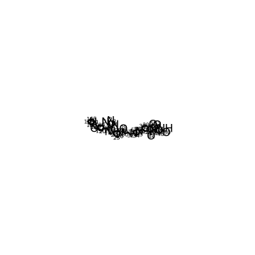 Nc1ncnc2c1c(-c1ccc(Oc3ccccc3)cc1)nn2[C@@H]1CCCN(C(=O)CCCN2CCN(c3ccc4c(c3)C(=O)N(C3CCC(=O)NC3=O)C4=O)CC2)C1